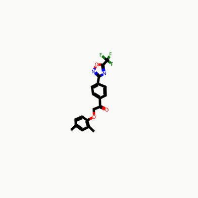 Cc1ccc(OCC(=O)c2ccc(-c3noc(C(F)(F)F)n3)cc2)c(C)c1